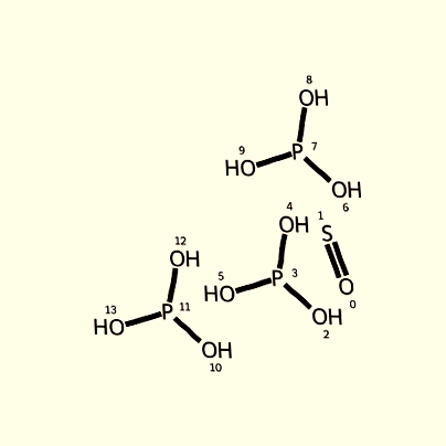 O=S.OP(O)O.OP(O)O.OP(O)O